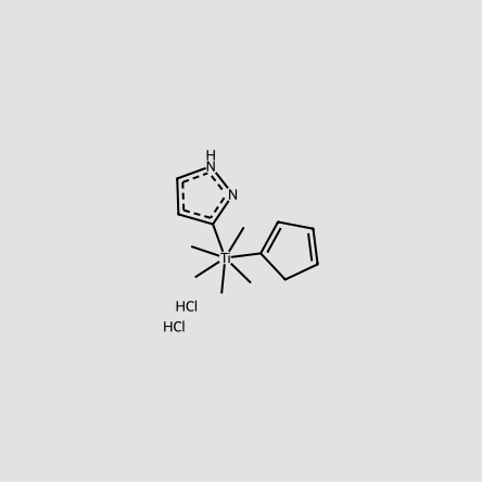 Cl.Cl.[CH3][Ti]([CH3])([CH3])([CH3])([CH3])([C]1=CC=CC1)[c]1cc[nH]n1